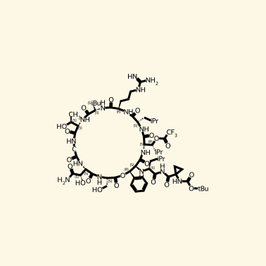 CC[C@H](C)[C@@H]1NC(=O)[C@@H](CCCNC(=N)N)NC(=O)[C@H](CC(C)C)NC(=O)[C@H]([C@H](OC(=O)C(F)(F)F)C(C)C)NC(=O)[C@@H](N[C@@H](CC(C)C)C(=O)NC(=O)C2(NC(=O)OC(C)(C)C)CC2)[C@@H](c2ccccc2)OC(=O)[C@H](CO)NC(=O)[C@H]([C@H](O)C(N)=O)NC(=O)CNC(=O)[C@H]([C@H](C)O)NC1=O